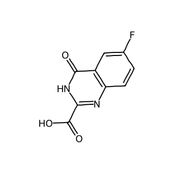 O=C(O)c1nc2ccc(F)cc2c(=O)[nH]1